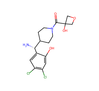 N[C@@H](c1cc(Cl)c(Cl)cc1O)C1CCN(C(=O)C2(O)COC2)CC1